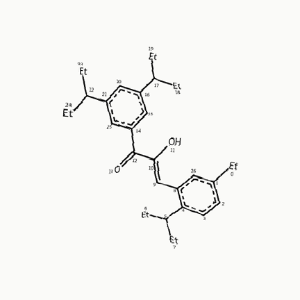 CCc1ccc(C(CC)CC)c(C=C(O)C(=O)c2cc(C(CC)CC)cc(C(CC)CC)c2)c1